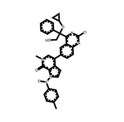 Cc1ccc([S+]([O-])n2ccc3c(-c4ccc5nc(Cl)nc(C(CO)(OC6CC6)c6ccccc6)c5c4)cn(C)c(=O)c32)cc1